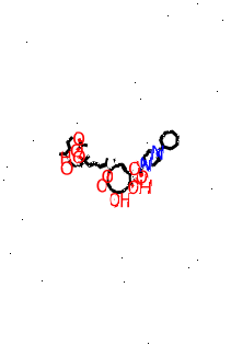 CCC(OC(C)=O)C(C)[C@H]1O[C@@H]1CC(C)(O)/C=C/C=C(\C)[C@H]1OC(=O)C[C@@H](O)CC[C@](C)(O)[C@@H](OC(=O)N2CCN(C3CCCCCC3)CC2)/C=C/[C@@H]1C